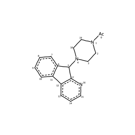 CC(=O)N1CCN(C2c3ccccc3-c3cccnc32)CC1